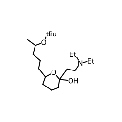 CCN(CC)CCC1(O)CCCC(CCCC(C)OC(C)(C)C)O1